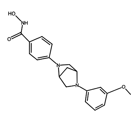 COc1cccc(N2CC3CC2CN3c2ccc(C(=O)NO)cc2)c1